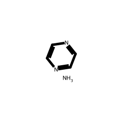 N.c1cnccn1